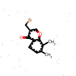 Cc1ccc2c(=O)c(CBr)coc2c1C